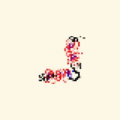 N#Cc1ccccn1.O=P([O-])([O-])[O-].O=P([O-])([O-])[O-].O=P([O-])([O-])[O-].O=P([O-])([O-])[O-].[Sn+4].[Sn+4].[Sn+4]